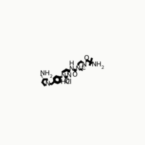 CC(C)(N)C(=O)N1CCN(C(=O)Nc2ccn(-c3ccc(CN4CC[C@H](CN)C4)cc3)c(=O)n2)CC1.Cl